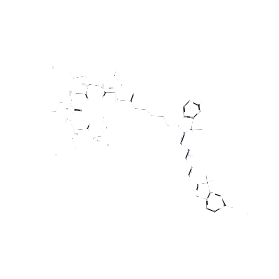 CC(=O)[C@@H](CCC(=O)O)NC(=O)[C@@H](CCC(=O)O)NC(=O)[C@@H](CCC(=O)O)NC(=O)[C@@H](CCC(=O)O)NC(=O)[C@@H](CCC(=O)O)NC(=O)CCCCCN1/C(=C/C=C/C=C/C2=Nc3ccc(S(=O)(=O)O)cc3C2(C)C)C(C)(C)c2cc(S(=O)(=O)O)ccc21